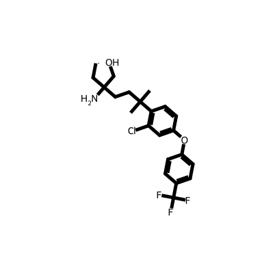 [CH2]CC(N)(CO)CCC(C)(C)c1ccc(Oc2ccc(C(F)(F)F)cc2)cc1Cl